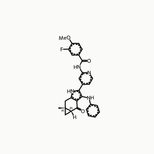 COc1ccc(C(=O)Nc2cc(-c3[nH]c4c(c3Nc3ccccc3)C(=O)[C@@H]3C[C@]3(C)C4)ccn2)cc1F